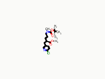 COC(=O)C(CCCN(C)C(=O)OC(C)(C)C)Cc1ccc(Cl)nc1